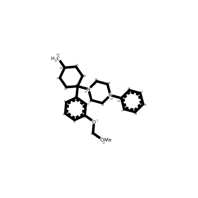 COCOc1cccc(C2(N3CCN(c4ccccc4)CC3)CCC(C)CC2)c1